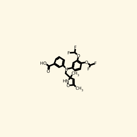 CC1=CC(C)(CN(c2cccc(C(=O)O)c2)c2ccc(OC(F)F)c(OC(F)F)c2)NO1